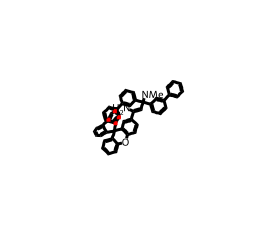 CNC(/C=C(\N)c1ccc2c(c1)C1(c3ccccc3O2)c2ccccc2-c2ccccc21)(c1cccc(-c2ccccc2)c1)c1cccc(-c2ccccc2)c1